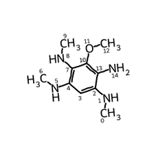 CNc1cc(NC)c(NC)c(OC)c1N